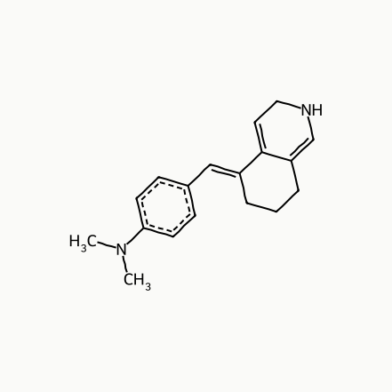 CN(C)c1ccc(/C=C2\CCCC3=CNCC=C32)cc1